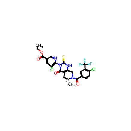 CCOC(=O)c1cnc(-n2c(=S)[nH]c3c(c2=O)C[C@@H](C)N(C(=O)c2ccc(Cl)c(C(F)(F)F)c2)C3)c(Cl)c1